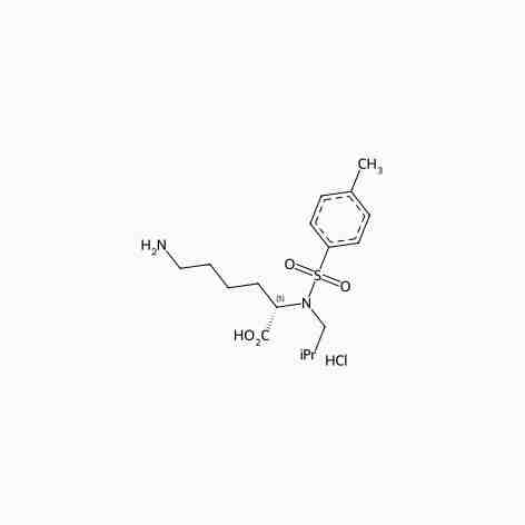 Cc1ccc(S(=O)(=O)N(CC(C)C)[C@@H](CCCCN)C(=O)O)cc1.Cl